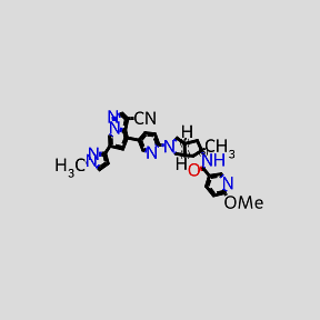 COc1ccc(C(=O)N[C@]2(C)C[C@H]3CN(c4ccc(-c5cc(-c6ccn(C)n6)cn6ncc(C#N)c56)cn4)C[C@H]3C2)cn1